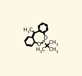 C/C1=C2\C=CC=CC2OP(C(C)(C)C)Oc2ccccc21